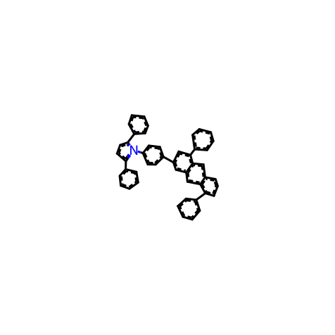 c1ccc(-c2cccc3cc4c(-c5ccccc5)cc(-c5ccc(-n6c(-c7ccccc7)ccc6-c6ccccc6)cc5)cc4cc23)cc1